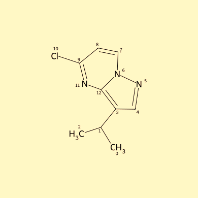 CC(C)c1cnn2[c]cc(Cl)nc12